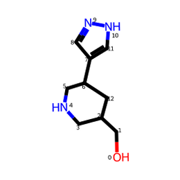 OCC1CNCC(c2cn[nH]c2)C1